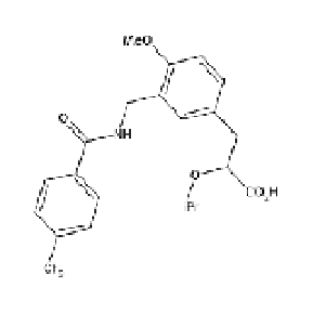 COc1ccc(CC(OC(C)C)C(=O)O)cc1CNC(=O)c1ccc(C(F)(F)F)cc1